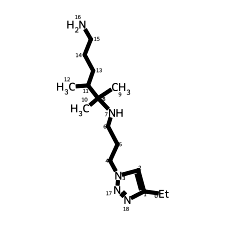 CCc1cn(CCCNC(C)(C)C(C)CCCN)nn1